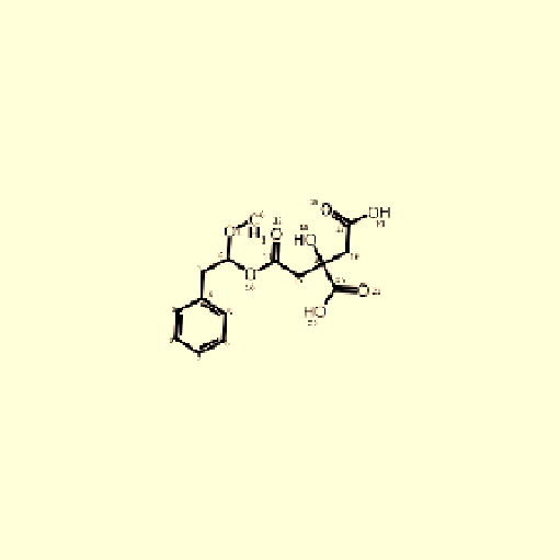 COC(Cc1ccccc1)OC(=O)CC(O)(CC(=O)O)C(=O)O